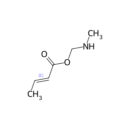 C/C=C/C(=O)OCNC